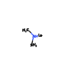 CN[SiH3].[La]